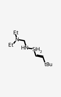 CCN(CC)CN[SiH2]C=CC(C)(C)C